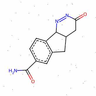 NC(=O)c1ccc2c(c1)CC1CC(=O)N=NC21